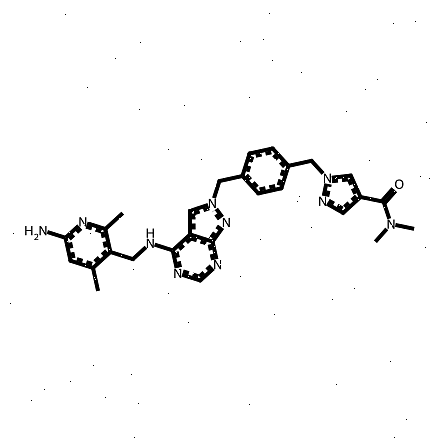 Cc1cc(N)nc(C)c1CNc1ncnc2nn(Cc3ccc(Cn4cc(C(=O)N(C)C)cn4)cc3)cc12